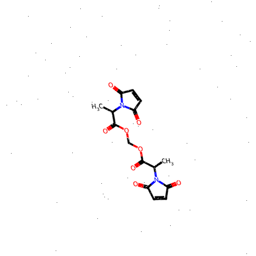 CC(C(=O)OCOC(=O)C(C)N1C(=O)C=CC1=O)N1C(=O)C=CC1=O